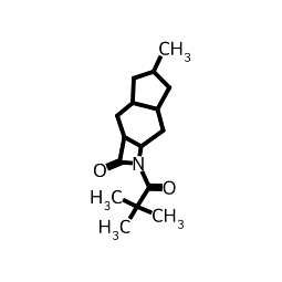 CC1CC2CC3C(=O)N(C(=O)C(C)(C)C)C3CC2C1